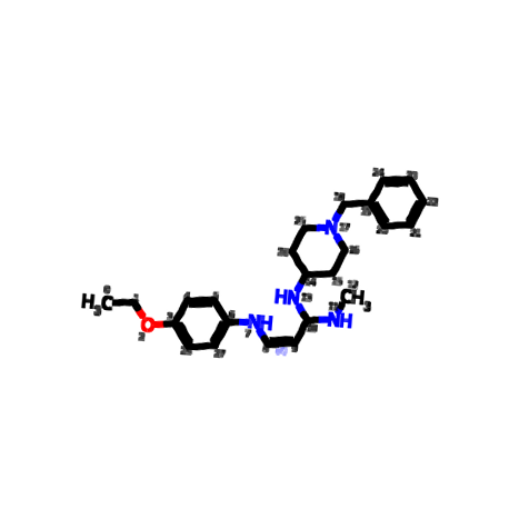 CCOc1ccc(N/C=C\C(NC)NC2CCN(Cc3ccccc3)CC2)cc1